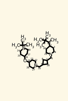 C[C@@H](C1CCN(CC2CC(CN3CCC(OC4CCN(C(C)(C)C)CC4)CC3)C2)CC1)C(C)(C)C